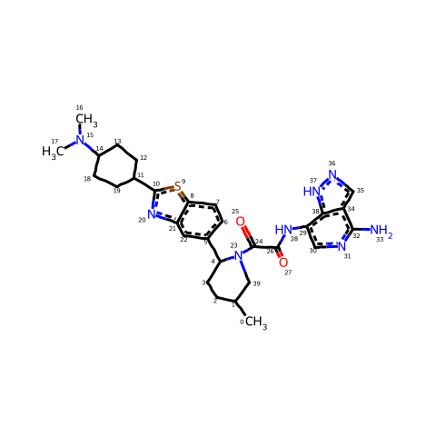 CC1CCC(c2ccc3sc(C4CCC(N(C)C)CC4)nc3c2)N(C(=O)C(=O)Nc2cnc(N)c3cn[nH]c23)C1